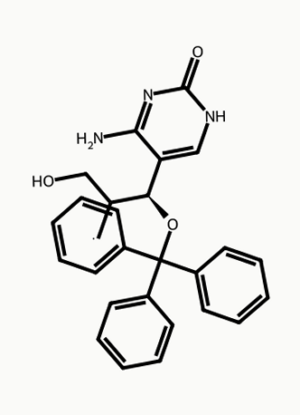 [CH2]C(CO)[C@H](OC(c1ccccc1)(c1ccccc1)c1ccccc1)c1c[nH]c(=O)nc1N